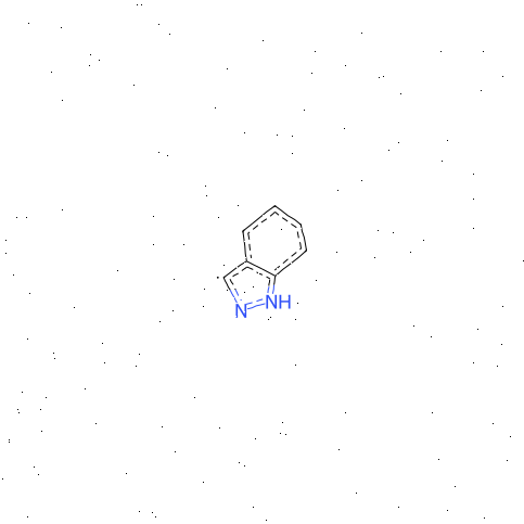 [c]1n[nH]c2ccccc12